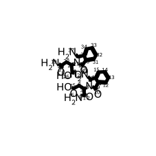 NC(=O)C(CC(=O)O)N1C(=O)c2ccccc2C1N.NC(=O)CC(C(=O)O)N1C(=O)c2ccccc2C1N